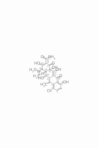 C=C1c2c(Cl)ccc(O)c2C(=O)C2=C(O)[C@]3(O)C(=O)C(C(N)=O)=C(O)[C@@H](N(C)C)[C@@H]3[C@@H](O)C12